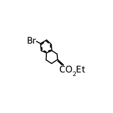 CCOC(=O)C=C1CCc2cc(Br)ccc2C1